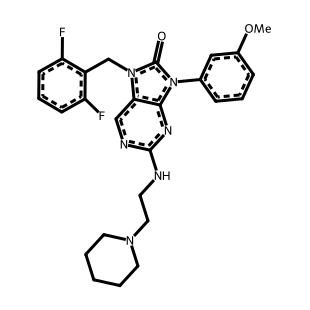 COc1cccc(-n2c(=O)n(Cc3c(F)cccc3F)c3cnc(NCCN4CCCCC4)nc32)c1